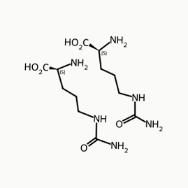 NC(=O)NCCC[C@H](N)C(=O)O.NC(=O)NCCC[C@H](N)C(=O)O